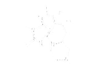 Cc1nc2c3c(nc(=O)n2C)N2CCN(C)CC2C[S+]([O-])c3c1F